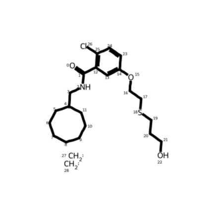 O=C(NC[C]1CCCCCCC1)c1cc(OCCSCCCO)ccc1Cl.[CH2].[CH2]